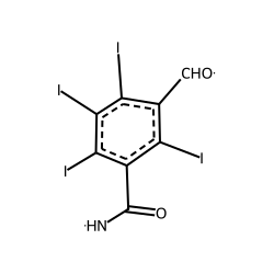 [NH]C(=O)c1c(I)c(I)c(I)c([C]=O)c1I